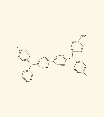 Cc1ccc(C(c2ccccc2)c2ccc(-c3ccc(C(c4ccc(C)cc4)c4ccc(C=O)cc4)cc3)cc2)cc1